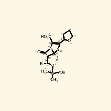 CC[C@H](O[Si](C)(C)C(C)(C)C)[C@@H]1C(=O)N2C(C(=O)O)=C(C3CCCO3)S[C@H]12